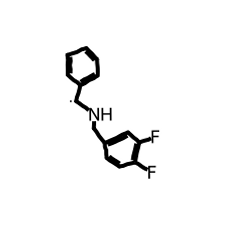 Fc1ccc(CN[CH]c2ccccc2)cc1F